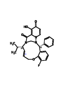 CC(C)[C@H]1/C=C/COc2c(F)cccc2[C@@H](c2ccccc2)N2CN1C(=O)c1c(O)c(=O)ccn12